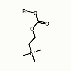 CC(C)OC(=O)OCC[N+](C)(C)C